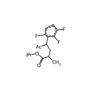 CC(=O)C(CC(C)C(=O)OC(C)C)c1c(F)ccc(F)c1F